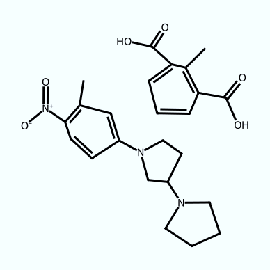 Cc1c(C(=O)O)cccc1C(=O)O.Cc1cc(N2CCC(N3CCCC3)C2)ccc1[N+](=O)[O-]